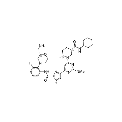 CNc1nc(-c2c[nH]c(C(=O)Nc3cccc(F)c3N3CCO[C@@H](CN)C3)n2)cc(N2C[C@@H](C(=O)NC3CCCCC3)CC[C@H]2C)n1